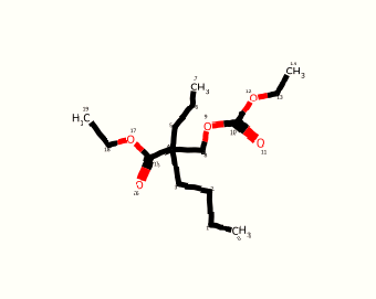 CCCCC(CCC)(COC(=O)OCC)C(=O)OCC